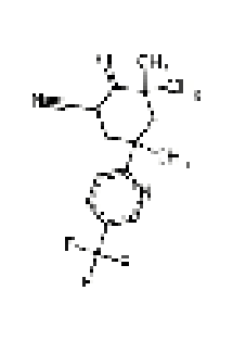 CC1(C)CC(C)(c2ccc(C(F)(F)F)cn2)CC(C#N)C1=O